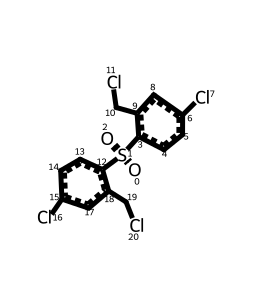 O=S(=O)(c1ccc(Cl)cc1CCl)c1ccc(Cl)cc1CCl